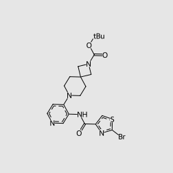 CC(C)(C)OC(=O)N1CC2(CCN(c3ccncc3NC(=O)c3csc(Br)n3)CC2)C1